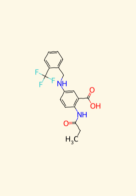 CCC(=O)Nc1ccc(NCc2ccccc2C(F)(F)F)cc1C(=O)O